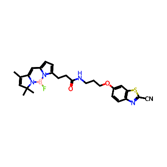 CC1=CC(C)(C)N2B(F)n3c(ccc3CCC(=O)NCCCOc3ccc4nc(C#N)sc4c3)C=C12